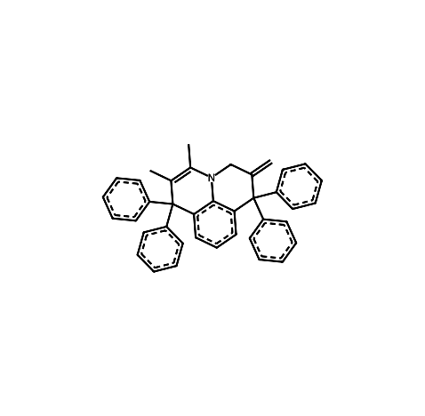 C=C1CN2C(C)=C(C)C(c3ccccc3)(c3ccccc3)c3cccc(c32)C1(c1ccccc1)c1ccccc1